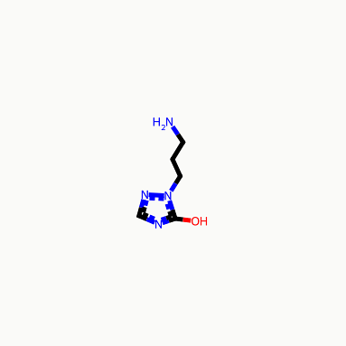 NCCCn1ncnc1O